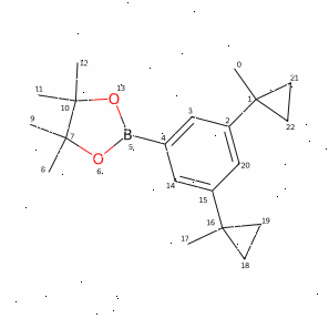 CC1(c2cc(B3OC(C)(C)C(C)(C)O3)cc(C3(C)CC3)c2)CC1